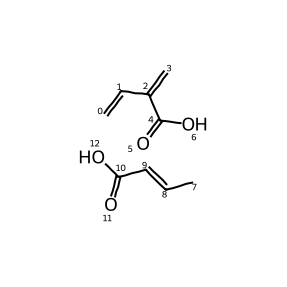 C=CC(=C)C(=O)O.CC=CC(=O)O